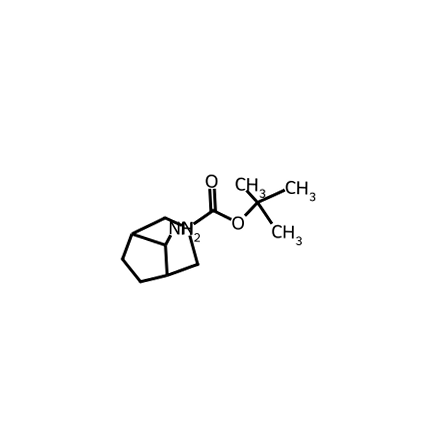 CC(C)(C)OC(=O)N1CC2CCC(C1)C2N